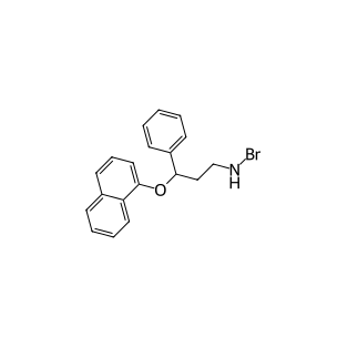 BrNCCC(Oc1cccc2ccccc12)c1ccccc1